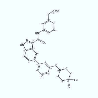 CNCc1cncc(NC(=O)c2n[nH]c3ccc(-c4cncc(CN5CCC(F)(F)CC5)c4)cc23)c1